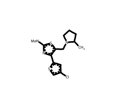 CNc1nc(-c2cc(Cl)cs2)c(CN2CCCC2C)s1